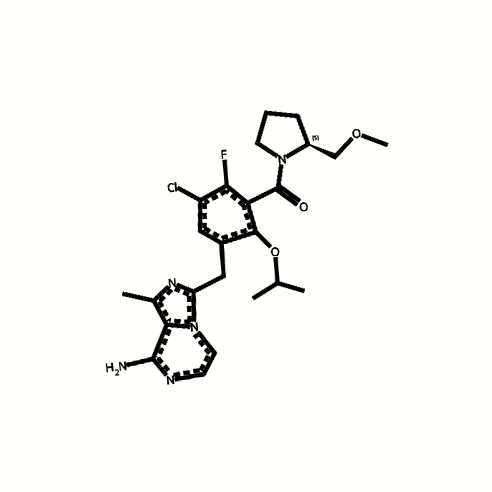 COC[C@@H]1CCCN1C(=O)c1c(F)c(Cl)cc(Cc2nc(C)c3c(N)nccn23)c1OC(C)C